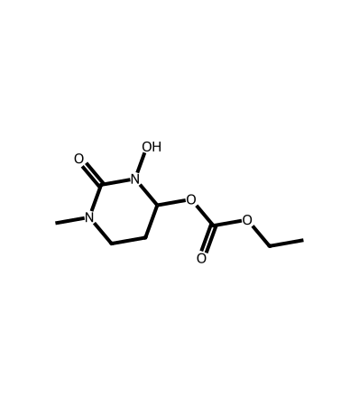 CCOC(=O)OC1CCN(C)C(=O)N1O